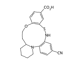 N#Cc1ccc2c(c1)NSc1cc(C(=O)O)ccc1OCCC1CCCCN21